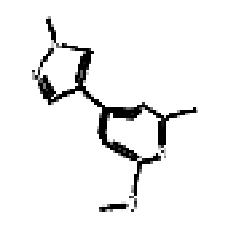 COc1cc(-c2cnn(C)c2)cc(C)n1